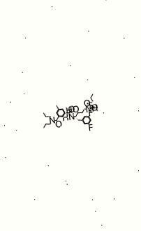 CCCN(CCC)C(=O)c1cc(C)cc(C(=O)N[C@@H](Cc2cc(F)cc(F)c2)[C@H](O)CCNS(=O)(=O)CCC)c1